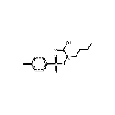 CCCC[C@@H](OS(=O)(=O)c1ccc(C)cc1)C(=O)O